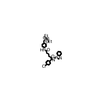 CCOP(=O)(Cc1ccc(NC(=O)CCCc2oc(-n3cnc4ccccc43)nc2-c2ccc(Cl)cc2)cc1)OCC